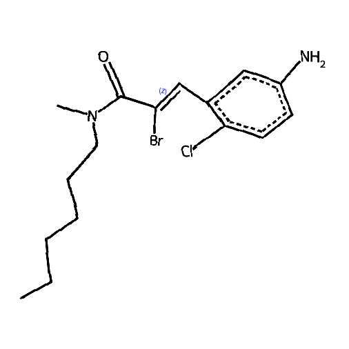 CCCCCCN(C)C(=O)/C(Br)=C/c1cc(N)ccc1Cl